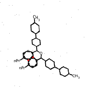 CCCc1ccc(C(OC(c2ccc(CCC)cc2)C2CCC(C3CCC(C)CC3)CC2)C2CCC(C3CCC(C)CC3)CC2)cc1